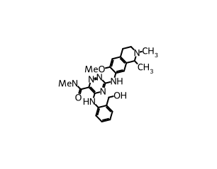 CNC(=O)c1nnc(Nc2cc3c(cc2OC)CCN(C)C3C)nc1Nc1ccccc1CO